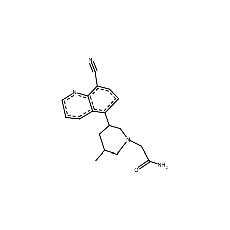 CC1CC(c2ccc(C#N)c3ncccc23)CN(CC(N)=O)C1